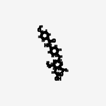 COc1ccc(C(=O)Nc2ccc(Cc3nc(SC)c(CC(=O)O)c(SC)n3)cc2)cc1